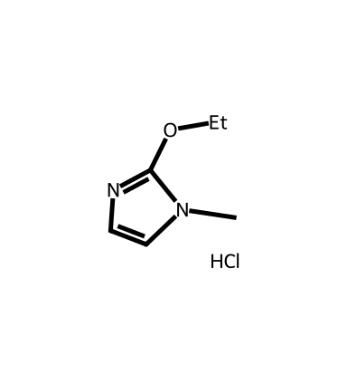 CCOc1nccn1C.Cl